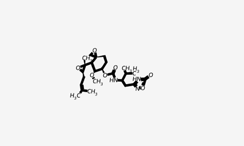 CO[C@H]1C([C@@]2(C)O[C@@H]2CC=C(C)C)[C@]2(CC[C@H]1OC(=O)NC(Cc1noc(=O)[nH]1)C(C)C)CO2